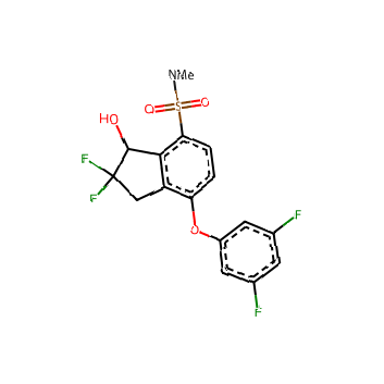 CNS(=O)(=O)c1ccc(Oc2cc(F)cc(F)c2)c2c1C(O)C(F)(F)C2